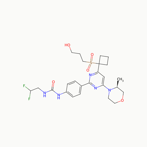 C[C@H]1COCCN1c1cc(C2(S(=O)(=O)CCCO)CCC2)nc(-c2ccc(NC(=O)NCC(F)F)cc2)n1